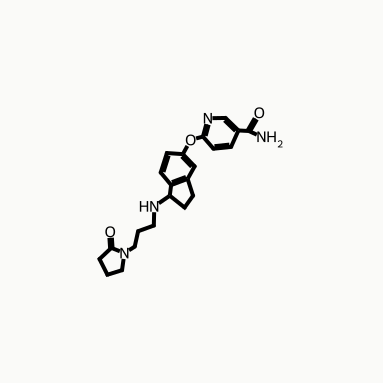 NC(=O)c1ccc(Oc2ccc3c(c2)CCC3NCCCN2CCCC2=O)nc1